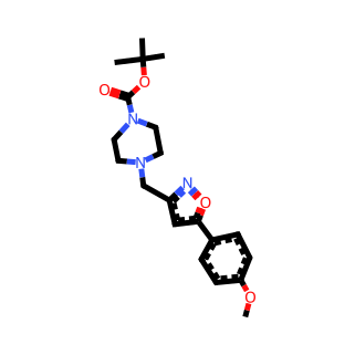 COc1ccc(-c2cc(CN3CCN(C(=O)OC(C)(C)C)CC3)no2)cc1